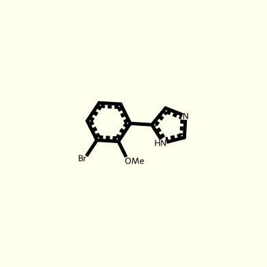 COc1c(Br)cccc1-c1cnc[nH]1